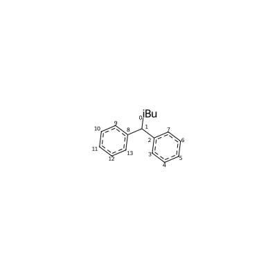 [CH2]C(CC)C(c1ccccc1)c1ccccc1